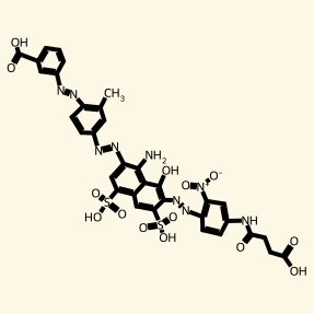 Cc1cc(/N=N/c2cc(S(=O)(=O)O)c3cc(S(=O)(=O)O)c(/N=N/c4ccc(NC(=O)CCC(=O)O)cc4[N+](=O)[O-])c(O)c3c2N)ccc1/N=N/c1cccc(C(=O)O)c1